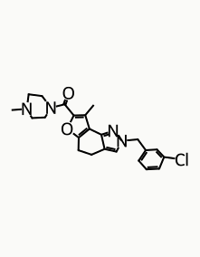 Cc1c(C(=O)N2CCN(C)CC2)oc2c1-c1nn(Cc3cccc(Cl)c3)cc1CC2